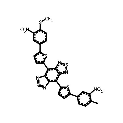 Cc1ccc(-c2ccc(-c3c4c(c(-c5ccc(-c6ccc(SC(F)(F)F)c([N+](=O)[O-])c6)s5)c5nsnc35)N=S=N4)s2)cc1[N+](=O)[O-]